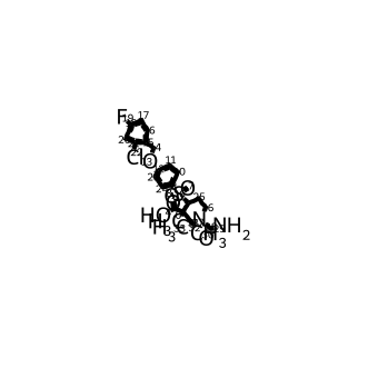 CC1(C(=O)O)C(S(=O)(=O)c2ccc(OCc3ccc(F)cc3Cl)cc2)CCN(C(N)=O)C1(C)C